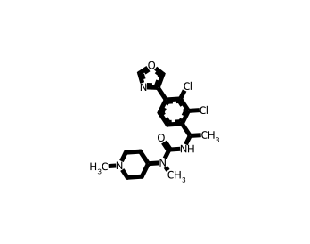 CC(NC(=O)N(C)C1CCN(C)CC1)c1ccc(-c2cocn2)c(Cl)c1Cl